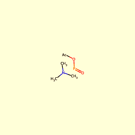 CC(=O)OP=O.CN(C)C